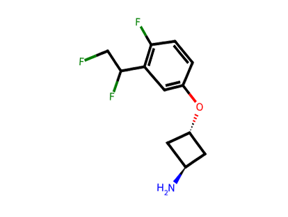 N[C@H]1C[C@H](Oc2ccc(F)c(C(F)CF)c2)C1